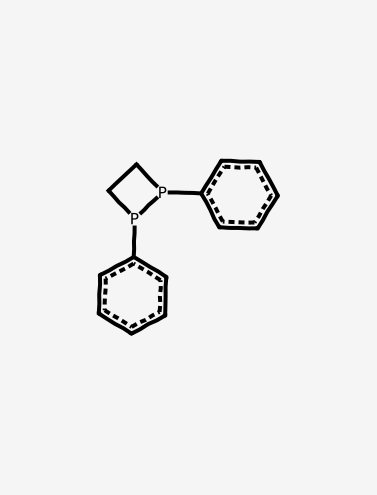 c1ccc(P2CCP2c2ccccc2)cc1